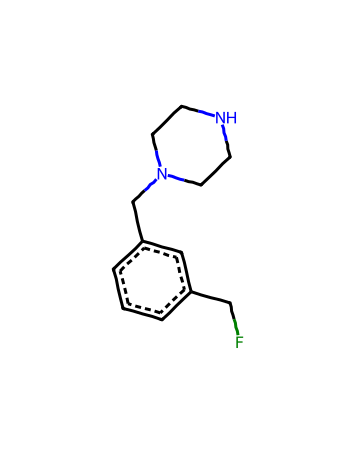 FCc1cccc(CN2CCNCC2)c1